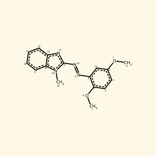 COc1ccc(OC)c(N=Nc2nc3ccccc3n2C)c1